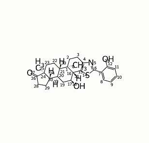 C[C@]12CCc3nc(-c4ccccc4O)sc3[C@@H]1[C@@H](O)C[C@@H]1[C@@H]2CC[C@]2(C)C(=O)CC[C@@H]12